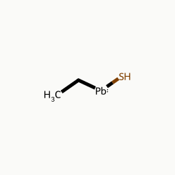 C[CH2][Pb][SH]